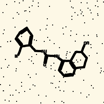 O=C(NCc1ccccc1Br)Nc1cccc2c1CC(O)CC2